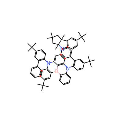 CC1(C)CC2(C)c3cc(C(C)(C)C)ccc3N(c3cc4c5c(c3)N(c3ccc(C(C)(C)C)cc3-c3ccccc3)c3ccc(C(C)(C)C)cc3B5c3ccccc3N4c3ccc(C(C)(C)C)cc3-c3ccccc3)C2(C)C1